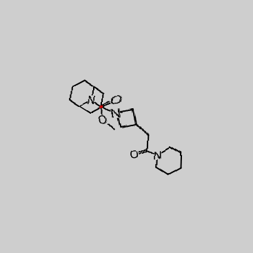 COC(=O)N1C2CCCC1CC(N1CC(CC(=O)N3CCCCC3)C1)C2